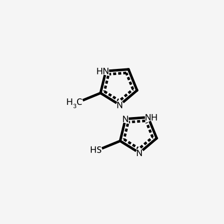 Cc1ncc[nH]1.Sc1nc[nH]n1